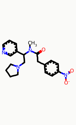 CN(C(=O)Cc1ccc([N+](=O)[O-])cc1)C(CN1CCCC1)c1cccnc1